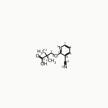 CC(C)(COc1ncccc1C#N)C(=O)O